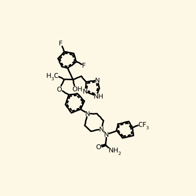 CC(Oc1ccc(N2CCN(N(C(N)=O)c3ccc(C(F)(F)F)cc3)CC2)cc1)C(O)(Cc1nc[nH]n1)c1ccc(F)cc1F